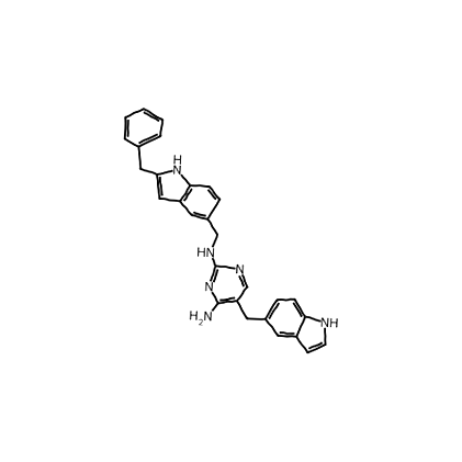 Nc1nc(NCc2ccc3[nH]c(Cc4ccccc4)cc3c2)ncc1Cc1ccc2[nH]ccc2c1